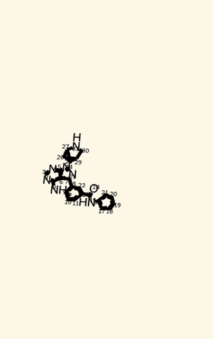 Nc1ncnc2c1c(-c1cccc(C(=O)Nc3ccccc3)c1)nn2C1CC2CC1CN2